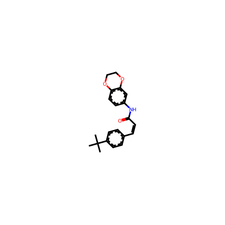 CC(C)(C)c1ccc(/C=C\C(=O)Nc2ccc3c(c2)OCCO3)cc1